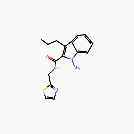 CCCc1c(C(=O)NCc2nccs2)n(N)c2ccccc12